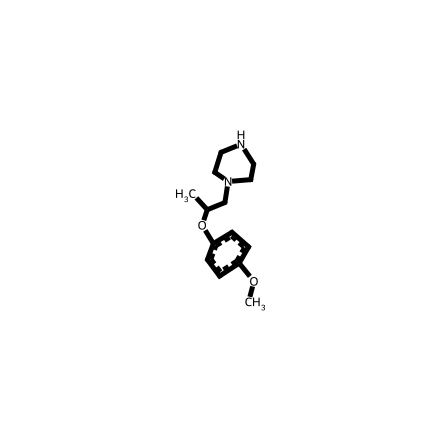 COc1ccc(OC(C)CN2CCNCC2)cc1